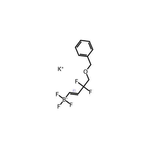 F[B-](F)(F)/C=C/C(F)(F)COCc1ccccc1.[K+]